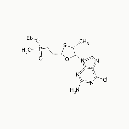 CCOP(C)(=O)CC[C@H]1OC(n2cnc3c(Cl)nc(N)nc32)[C@@H](C)S1